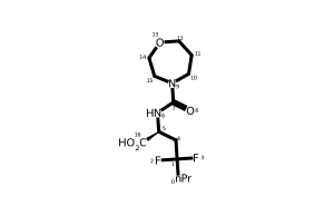 CCCC(F)(F)C[C@H](NC(=O)N1CCCOCC1)C(=O)O